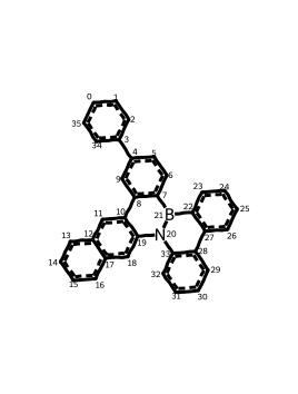 c1ccc(-c2ccc3c(c2)-c2cc4ccccc4cc2N2B3c3ccccc3-c3ccccc32)cc1